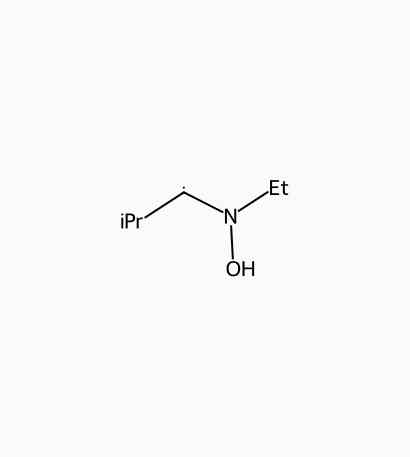 CCN(O)[CH]C(C)C